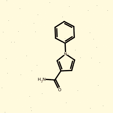 NC(=O)c1ccn(-c2ccccc2)c1